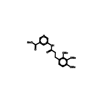 COC(=O)c1cncc(NC(=O)CCc2ccc(OC)c(OC)c2OC)c1